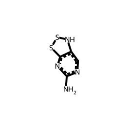 Nc1ncc2c(n1)SSN2